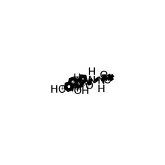 CC(C)(C)OC(=O)NCCNC(=O)[C@H]1CC[C@H]2[C@@H]3CCC4C[C@@H](O)CC[C@]4(C)[C@H]3[C@@H](O)C[C@]12C